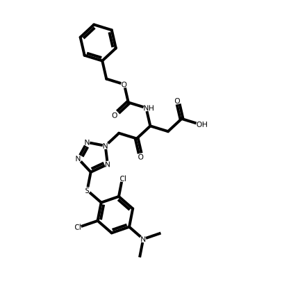 CN(C)c1cc(Cl)c(Sc2nnn(CC(=O)C(CC(=O)O)NC(=O)OCc3ccccc3)n2)c(Cl)c1